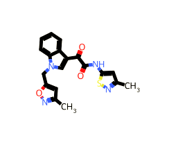 Cc1cc(Cn2cc(C(=O)C(=O)Nc3cc(C)ns3)c3ccccc32)on1